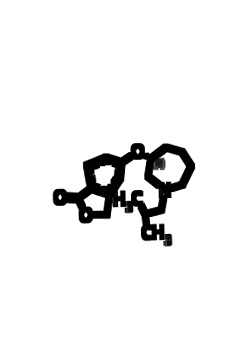 CC(C)CN1CCCC[C@@H](Oc2ccc3c(c2)COC3=O)C1